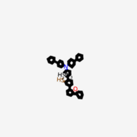 C=C(/C=C\C(=C/C)N(c1ccc(-c2ccccc2)cc1)c1ccc(-c2ccccc2)cc1)c1ccc(-c2cccc3c2oc2ccccc23)cc1S